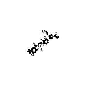 C=CC(=O)N1C[C@@H](CCN)[C@@H](NC(=O)c2c(C)nc(CNC(=N)c3cc(C(C)(C)C)c(Cl)cc3N)n2C)C1